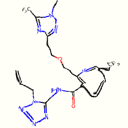 C=CCn1nnnc1NC(=O)c1ccc(C(F)(F)F)nc1COCc1nc(C(F)(F)F)n(C)n1